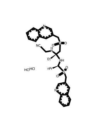 CCC[C@@H](N[C@@](CC)(CS(=O)(=O)Cc1cnc2ccccc2c1)NCC#N)S(=O)(=O)Cc1cnc2ccccc2c1.Cl.Cl